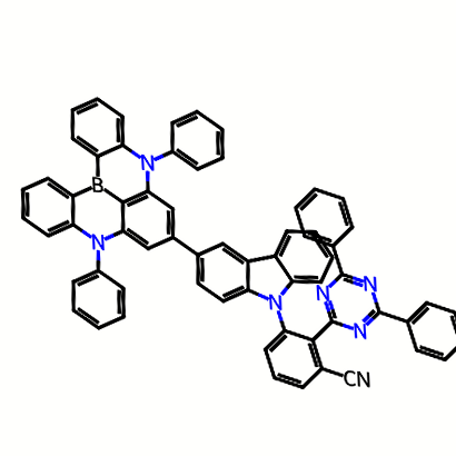 N#Cc1cccc(-n2c3ccccc3c3cc(-c4cc5c6c(c4)N(c4ccccc4)c4ccccc4B6c4ccccc4N5c4ccccc4)ccc32)c1-c1nc(-c2ccccc2)nc(-c2ccccc2)n1